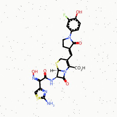 Nc1nc(/C(=N/O)C(=O)N[C@@H]2C(=O)N3C(C(=O)O)=C(/C=C4\CCN(c5ccc(O)c(F)c5)C4=O)CS[C@H]23)cs1